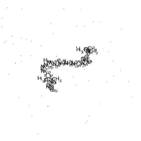 Cc1cc(-c2cc(Nc3ccc(N4CCN(C5CN(C6CN(c7ccc(N8CCC(=O)N(COCC[Si](C)(C)C)C8=O)cc7)C6)C5)CC4)cn3)ncn2)ccc1[C@@H](C)NC(=O)c1nc(C(C)(C)C)no1